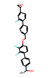 CCCC(O)c1ccc(-c2ccc(OCc3ccc(-c4ccc(C5CO5)cc4F)cc3)c(F)c2F)cc1